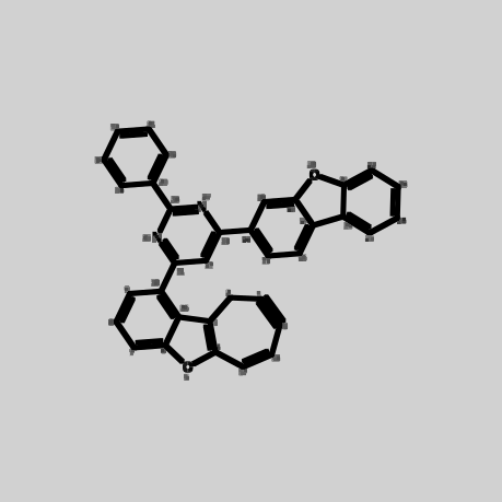 C1#CCc2c(oc3cccc(-c4cc(-c5ccc6c(c5)oc5ccccc56)nc(-c5ccccc5)n4)c23)C=C1